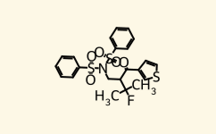 CC(C)(F)C(CN(S(=O)(=O)c1ccccc1)S(=O)(=O)c1ccccc1)C(=O)c1ccsc1